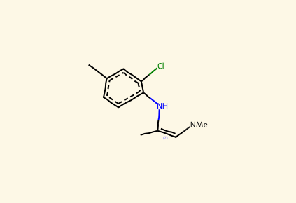 CN/C=C(/C)Nc1ccc(C)cc1Cl